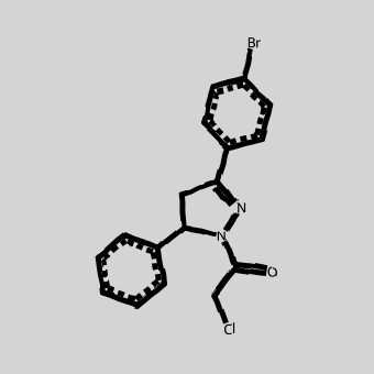 O=C(CCl)N1N=C(c2ccc(Br)cc2)CC1c1ccccc1